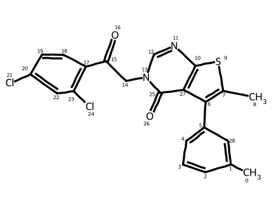 Cc1cccc(-c2c(C)sc3ncn(CC(=O)c4ccc(Cl)cc4Cl)c(=O)c23)c1